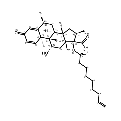 C=CCCCCCCC(=O)O[C@]1(C(=O)S)[C@H](C)C[C@H]2[C@@H]3C[C@H](F)C4=CC(=O)C=C[C@]4(C)[C@@]3(F)[C@@H](O)CC21C